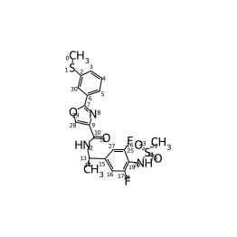 CSc1cccc(-c2nc(C(=O)N[C@H](C)c3cc(F)c(NS(C)(=O)=O)c(F)c3)co2)c1